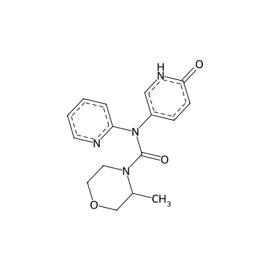 CC1COCCN1C(=O)N(c1ccc(=O)[nH]c1)c1ccccn1